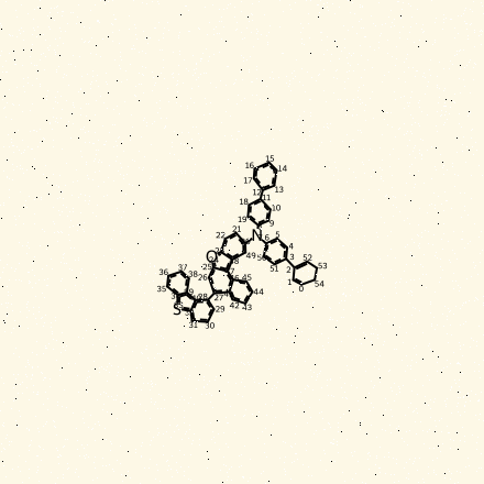 C1=CC(c2ccc(N(c3ccc(-c4ccccc4)cc3)c3ccc4oc5cc(-c6cccc7sc8ccccc8c67)c6ccccc6c5c4c3)cc2)=CCC1